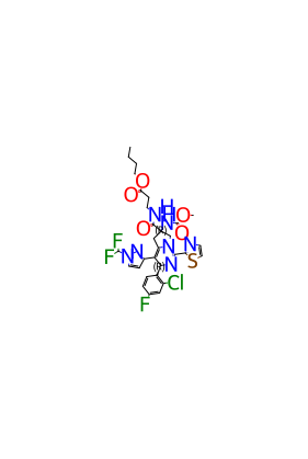 CCCCOC(=O)CCNC(=O)[C@@]1(NC(=O)OC)CC2=C(c3ccn(C(F)F)n3)[C@H](c3ccc(F)cc3Cl)N=C(c3nccs3)N2C1